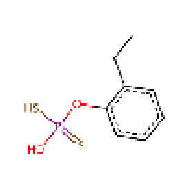 CCc1ccccc1OP(O)(=S)S